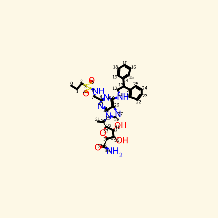 CCCS(=O)(=O)NCc1nc(NCC(c2ccccc2)c2ccccc2)c2ncn(C(C)[C@H]3O[C@H](C(N)=O)[C@@H](O)[C@H]3O)c2n1